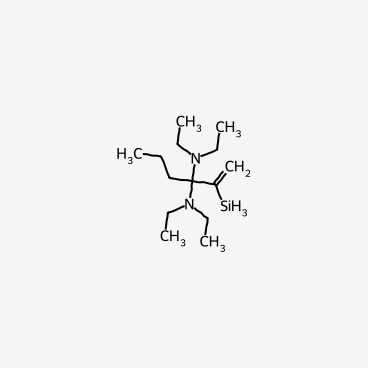 C=C([SiH3])C(CCC)(N(CC)CC)N(CC)CC